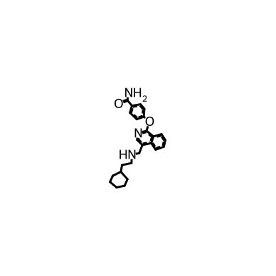 NC(=O)c1ccc(Oc2ncc(CNCCC3CCCCC3)c3ccccc23)cc1